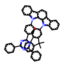 CC1(C)c2ccccc2-c2ccc(-n3c4ccccc4c4ccc5c6ccccc6n(-c6ccc(-c7nc(-c8ccccc8)nc(-c8ccccc8)n7)cc6)c5c43)cc21